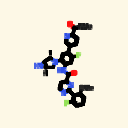 CNC(=O)c1ccc(-c2cc(N3C[C@H]4NC4[C@@H]3C)c(NC(=O)c3ccnc(-c4c(F)cccc4OC)n3)cc2F)cn1